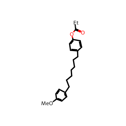 CCC(=O)Oc1ccc(CCCCCCCc2ccc(OC)cc2)cc1